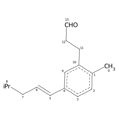 Cc1ccc(C=CCC(C)C)cc1CCC=O